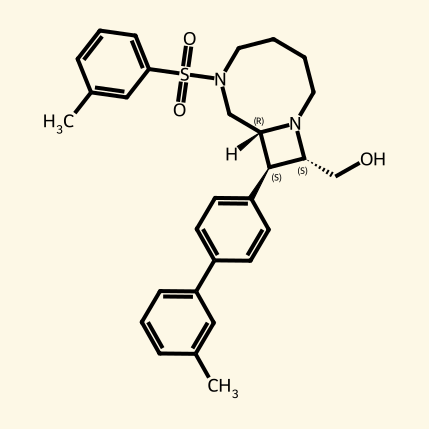 Cc1cccc(-c2ccc([C@@H]3[C@@H](CO)N4CCCCN(S(=O)(=O)c5cccc(C)c5)C[C@@H]34)cc2)c1